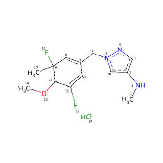 CNc1cnn(CC2=CC(C)(F)C(OC)C(F)=C2)c1.Cl